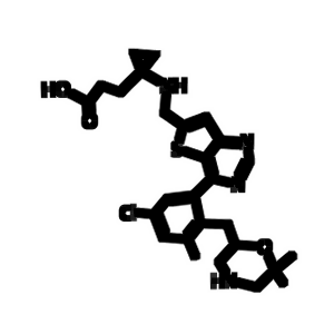 Cc1cc(Cl)cc(-c2ncnc3cc(CNC4(CCC(=O)O)CC4)sc23)c1CC1CNCC(C)(C)O1